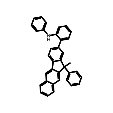 CC1(c2ccccc2)c2cc(-c3ccccc3Nc3ccccc3)ccc2-c2cc3ccccc3cc21